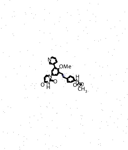 COc1c(/C=C/c2ccc(NS(C)(=O)=O)cc2)cc(-n2ccc(=O)[nH]c2=O)cc1-c1cccnc1